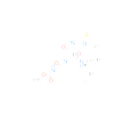 CC(C)c1csc(-c2cc3c(c(O[C@@H]4C[C@H]5C(=O)N[C@]6(C(=O)O)C[C@H]6/C=C\CCCCC[C@H](NC(=O)OC(C)(C)C)C(=O)N5C4)n2)CCCC3)n1